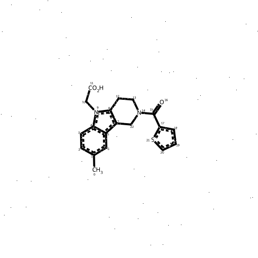 Cc1ccc2c(c1)c1c(n2CC(=O)O)CCN(C(=O)c2cccs2)C1